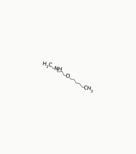 CCCCCCOCCCNCC